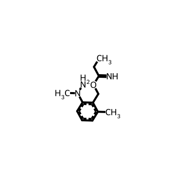 CCC(=N)OCc1c(C)cccc1N(C)N